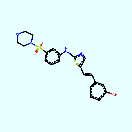 O=S(=O)(c1cccc(Nc2ncc(/C=C/c3cccc(O)c3)s2)c1)N1CCNCC1